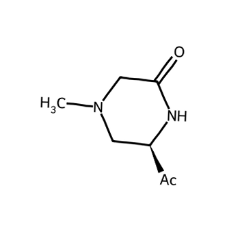 CC(=O)[C@H]1CN(C)CC(=O)N1